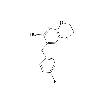 Oc1nc2c(cc1Cc1ccc(F)cc1)NCCO2